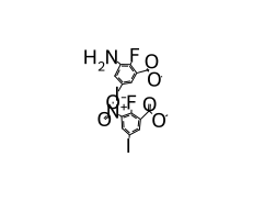 COC(=O)c1cc(I)cc(N)c1F.COC(=O)c1cc(I)cc([N+](=O)[O-])c1F